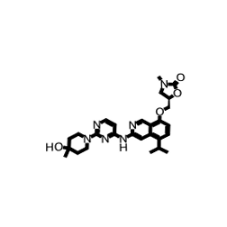 CC(C)c1ccc(OC[C@H]2CN(C)C(=O)O2)c2cnc(Nc3ccnc(N4CCC(C)(O)CC4)n3)cc12